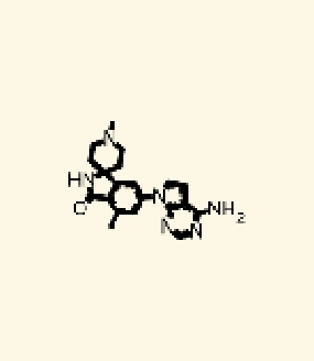 Cc1cc(-n2ccc3c(N)ncnc32)cc2c1C(=O)NC21CCN(C)CC1